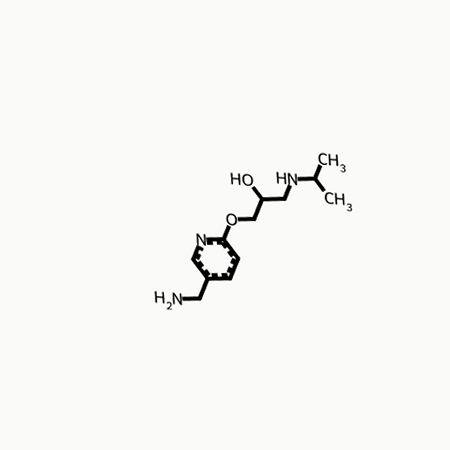 CC(C)NCC(O)COc1ccc(CN)cn1